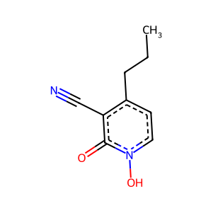 CCCc1ccn(O)c(=O)c1C#N